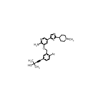 CC(=O)c1ccc(C#CC(C)(C)O)cc1COc1cc(-c2cnc(C3CCN(C)CC3)s2)cnc1N